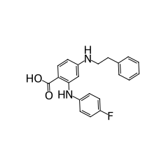 O=C(O)c1ccc(NCCc2ccccc2)cc1Nc1ccc(F)cc1